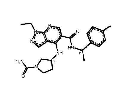 CCn1ncc2c(N[C@H]3CCN(C(N)=O)C3)c(C(=O)N[C@H](C)c3ccc(C)cc3)cnc21